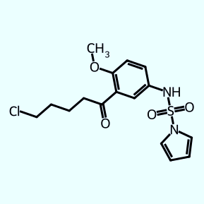 COc1ccc(NS(=O)(=O)n2cccc2)cc1C(=O)CCCCCl